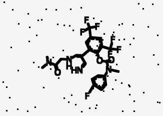 CN(C)C(=O)CN/C=C(\C=N)c1cc(C(F)(F)F)cc(C(F)(F)F)c1OC(=O)N(C)c1ccc(F)cc1